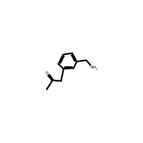 CC(=O)Cc1[c]ccc(CN)c1